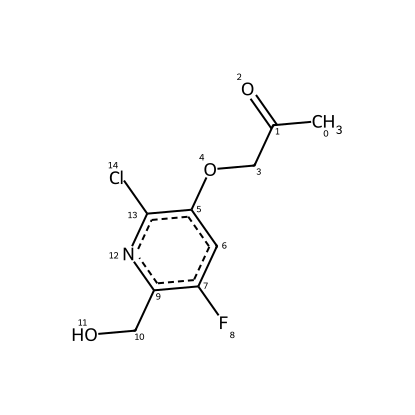 CC(=O)COc1cc(F)c(CO)nc1Cl